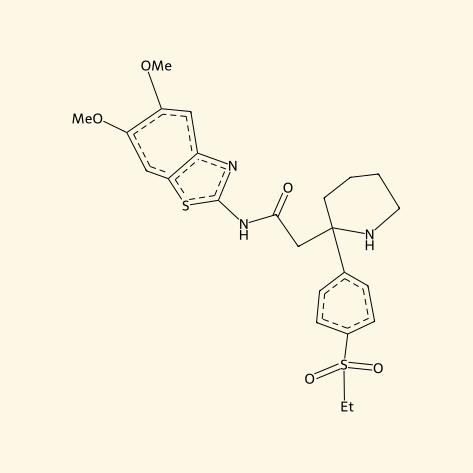 CCS(=O)(=O)c1ccc(C2(CC(=O)Nc3nc4cc(OC)c(OC)cc4s3)CCCCN2)cc1